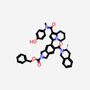 C[C@@H]1Cc2ccccc2CN1C(=O)c1cc2c(cc1-c1cc(C(=O)N(C)c3ccc(O)cc3)c3n1CCCC3)CN(C(=O)OCc1ccccc1)C2